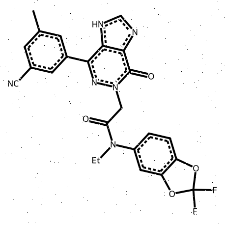 CCN(C(=O)Cn1nc(-c2cc(C)cc(C#N)c2)c2[nH]cnc2c1=O)c1ccc2c(c1)OC(F)(F)O2